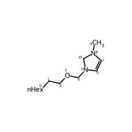 CCCCCCCCOCN1C=CN(C)C1